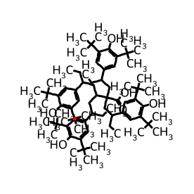 CCC(CC(CC(CC)c1cc(C(C)(C)C)c(O)c(C(C)(C)C)c1)C(CC(CC)c1cc(C(C)(C)C)c(O)c(C(C)(C)C)c1)(CC(CC)c1cc(C(C)(C)C)c(O)c(C(C)(C)C)c1)C(=O)O)c1cc(C(C)(C)C)c(O)c(C(C)(C)C)c1